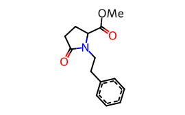 COC(=O)C1CCC(=O)N1CCc1ccccc1